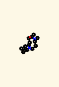 c1ccc(-c2ccc3cc(N(c4cccc(-c5cccc(-c6ccc7c(c6)c6ccccc6n7-c6cccc7ccccc67)c5)c4)c4ccc5c(c4)C4(c6ccccc6-c6ccccc64)c4ccccc4-5)ccc3c2)cc1